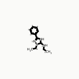 CCNC1NC(c2ccccc2)=NN1CC